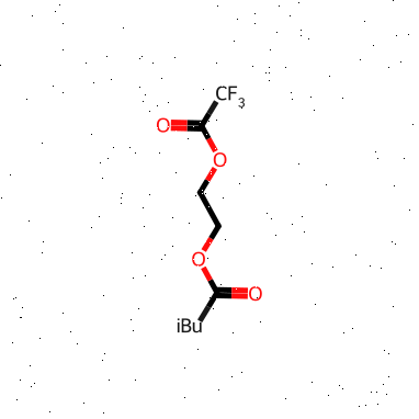 CCC(C)C(=O)OCCOC(=O)C(F)(F)F